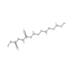 CCOCCOCCOCC(=O)OCC(=O)CC